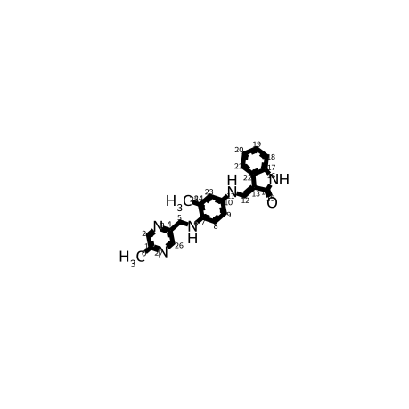 Cc1cnc(CNc2ccc(N/C=C3/C(=O)Nc4ccccc43)cc2C)cn1